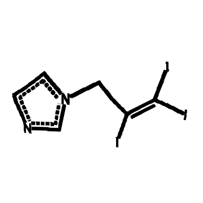 IC(I)=C(I)Cn1ccnc1